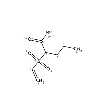 C=CS(=O)(=O)C(CCC)C(N)=O